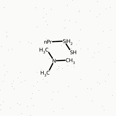 CCC[SiH2]S.CN(C)C